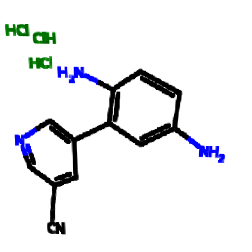 Cl.Cl.Cl.N#Cc1cncc(-c2cc(N)ccc2N)c1